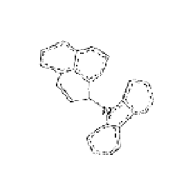 C1=CC(n2c3ccccc3c3ccccc32)c2cccc3cccc1c23